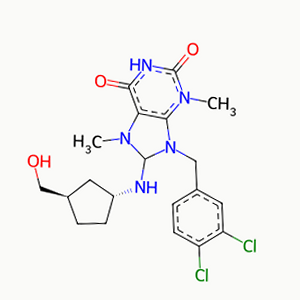 CN1c2c(n(C)c(=O)[nH]c2=O)N(Cc2ccc(Cl)c(Cl)c2)C1N[C@@H]1CC[C@@H](CO)C1